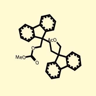 COC(=O)OCC1(CCC2(COC(C)=O)c3ccccc3-c3ccccc32)c2ccccc2-c2ccccc21